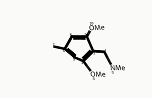 CNCc1c(OC)cc(C)cc1OC